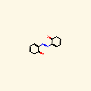 O=C1CC=CC=C1N=NC1=CC=CCC1=O